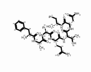 CC(C)C[C@H](NC(=O)[C@H](CC(N)=O)NC(=O)[C@@H](NC(=O)[C@H](CCC(N)=O)NC(=O)[C@@H](NC(=O)[C@H](C)NC(=O)[C@@H](N)Cc1ccccc1)C(C)C)[C@@H](C)O)C(=O)O